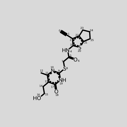 C#Cc1c(NC(=O)CSc2nc(C)c(CCO)c(=O)[nH]2)sc2c1CCC2